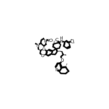 C[C@@H](COc1ccnc2c1[C@H](C)CCC2)C[C@H]1Cc2cc3c(cc2C12CCC(Nc1cccc(Cl)c1)(C(=O)O)CC2)O[C@H](CN(C)C1CCN(C)CC1)CO3